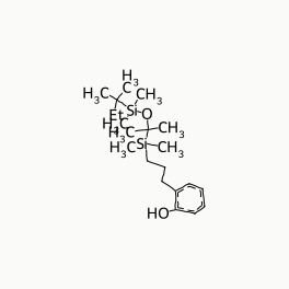 CCC(C)(C)[Si](C)(C)OC(C)(C)[Si](C)(C)CCCc1ccccc1O